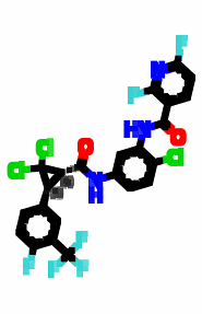 O=C(Nc1cc(NC(=O)[C@@H]2[C@@H](c3ccc(F)c(C(F)(F)F)c3)C2(Cl)Cl)ccc1Cl)c1ccc(F)nc1F